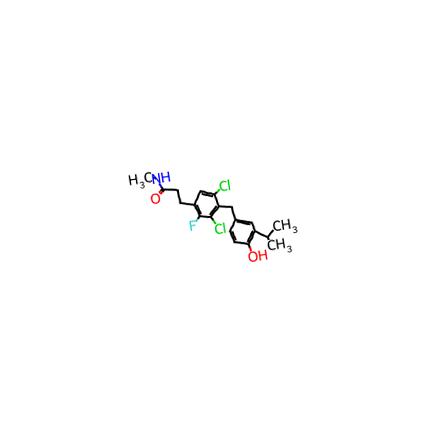 CNC(=O)CCc1cc(Cl)c(Cc2ccc(O)c(C(C)C)c2)c(Cl)c1F